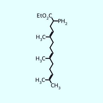 CCOC(=O)C(P)C/C=C(\C)CC/C=C(\C)CCC=C(C)C